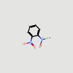 O=[N+]([O-])c1ccccc1N(F)Br